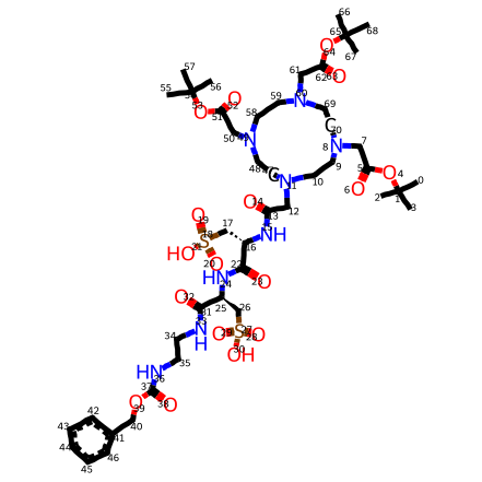 CC(C)(C)OC(=O)CN1CCN(CC(=O)N[C@@H](CS(=O)(=O)O)C(=O)N[C@@H](CS(=O)(=O)O)C(=O)NCCNC(=O)OCc2ccccc2)CCN(CC(=O)OC(C)(C)C)CCN(CC(=O)OC(C)(C)C)CC1